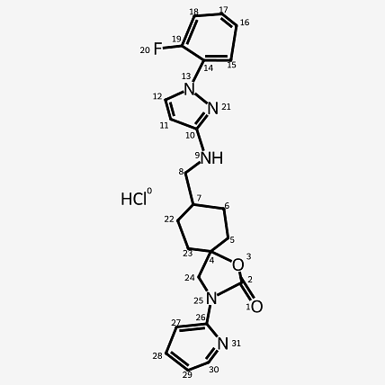 Cl.O=C1OC2(CCC(CNc3ccn(-c4ccccc4F)n3)CC2)CN1c1ccccn1